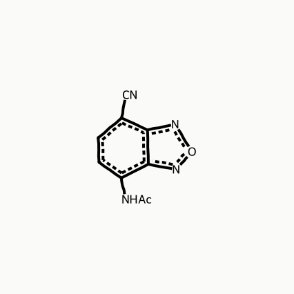 CC(=O)Nc1ccc(C#N)c2nonc12